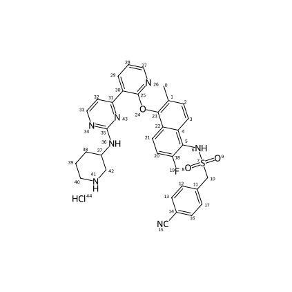 Cc1ccc2c(NS(=O)(=O)Cc3ccc(C#N)cc3)c(F)ccc2c1Oc1ncccc1-c1ccnc(NC2CCCNC2)n1.Cl